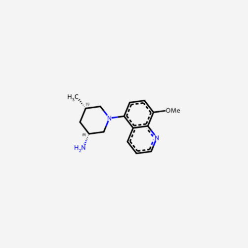 COc1ccc(N2C[C@@H](C)C[C@@H](N)C2)c2cccnc12